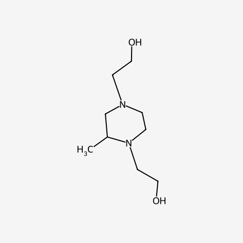 CC1CN(CCO)CCN1CCO